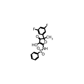 CC1(c2cc(F)cc(F)c2)OC(NS(=O)(=O)c2ccccc2)=C(O)C1=O